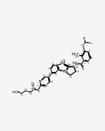 Cc1c(OC(F)F)cccc1C(=O)N[C@@H]1CCn2c1nc1ccc(-c3cnc(C[S@+]([O-])CCCO)nc3)cc12